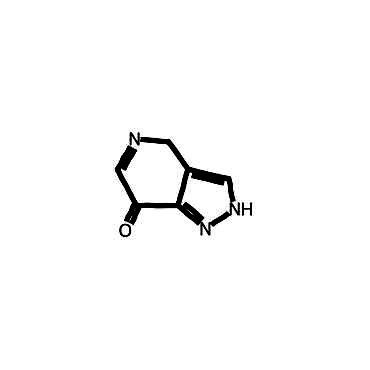 O=C1C=NCc2c[nH]nc21